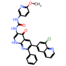 COc1ccc(NC(=O)Nc2c[nH]c3nc(-c4ccccc4)c(-c4cc(Cl)c5ncccc5c4)cc3c2=O)cn1